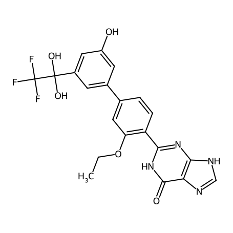 CCOc1cc(-c2cc(O)cc(C(O)(O)C(F)(F)F)c2)ccc1-c1nc2[nH]cnc2c(=O)[nH]1